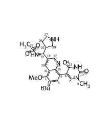 COc1c(C(C)(C)C)cc(-c2cn(C)c(=O)[nH]c2=O)c2ncc([C@@H](NS(C)(=O)=O)C3CCNC3)cc12